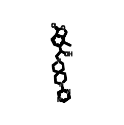 Cc1c(C(O)CN2CCC3(CC2)CCN(c2cnccn2)CC3)ccc2c1COC2=O